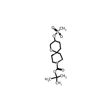 CC(C)(C)OC(=O)N1CCC2(CCC(OS(C)(=O)=O)CO2)CC1